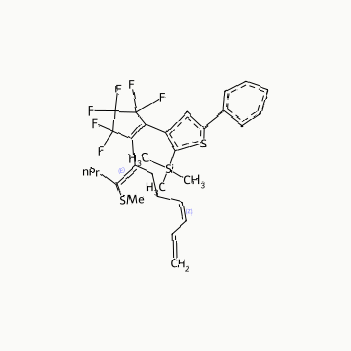 C=C/C=C\CC/C(C1=C(c2cc(-c3ccccc3)sc2[Si](C)(C)C)C(F)(F)C(F)(F)C1(F)F)=C(/CCC)SC